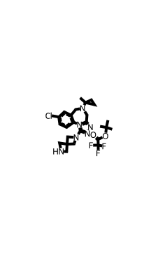 CC(C)(C)OC(=O)C(F)(F)F.CC1(N2Cc3cc(Cl)ccc3-n3c(nnc3N3CC4(CNC4)C3)C2)CC1